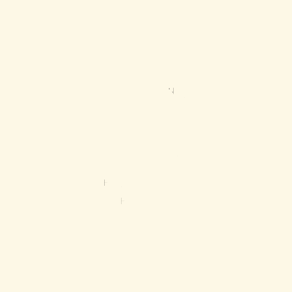 NCc1cccc(C2CC(F)(F)C2)c1